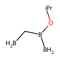 BCB(B)OC(C)C